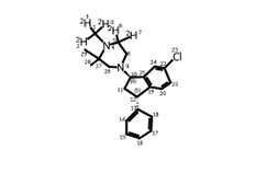 [2H]C([2H])([2H])N1C([2H])([2H])CN([C@@H]2C[C@@H](c3ccccc3)c3ccc(Cl)cc32)CC1(C)C